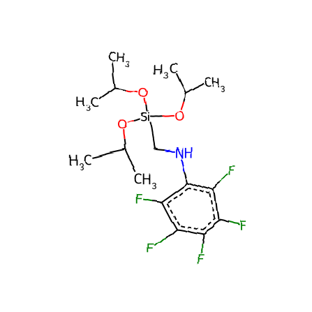 CC(C)O[Si](CNc1c(F)c(F)c(F)c(F)c1F)(OC(C)C)OC(C)C